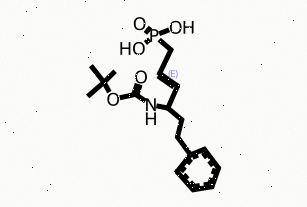 CC(C)(C)OC(=O)NC(/C=C/CP(=O)(O)O)CCc1ccccc1